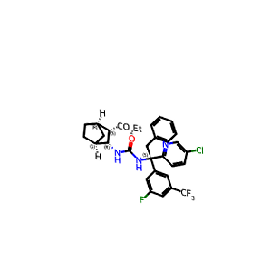 CCOC(=O)[C@H]1[C@@H]2CC[C@@H](C2)[C@H]1NC(=O)N[C@@](Cc1ccccc1)(c1cc(F)cc(C(F)(F)F)c1)c1ccc(Cl)cn1